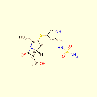 C[C@@H](O)[C@H]1C(=O)N2C(C(=O)O)=C(SC3CN[C@H](CNS(N)(=O)=O)C3)[C@H](C)[C@H]12